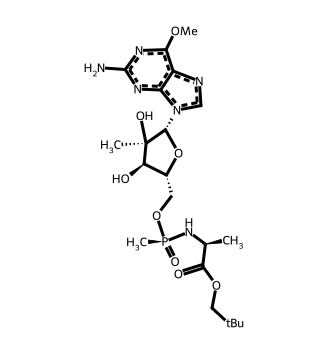 COc1nc(N)nc2c1ncn2[C@@H]1O[C@H](CO[P@@](C)(=O)N[C@@H](C)C(=O)OCC(C)(C)C)[C@@H](O)[C@@]1(C)O